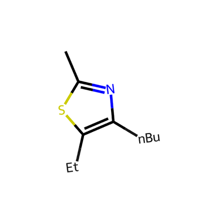 CCCCc1nc(C)sc1CC